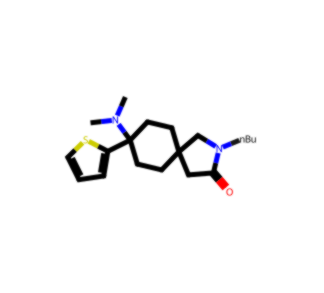 CCCCN1CC2(CCC(c3cccs3)(N(C)C)CC2)CC1=O